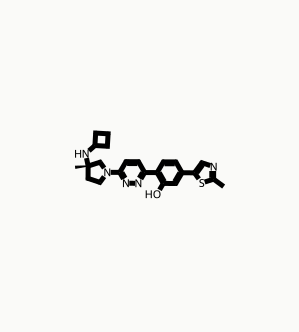 Cc1ncc(-c2ccc(-c3ccc(N4CC[C@](C)(NC5CCC5)C4)nn3)c(O)c2)s1